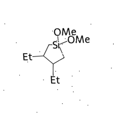 CCC1C[Si](OC)(OC)CC1CC